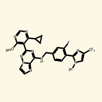 COc1ncnc(C2CC2)c1-c1nc(NCc2ccc(-c3nc(C(F)(F)F)cn3C(C)C)c(F)c2)c2nccn2n1